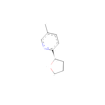 Cc1[c]cc([C@H]2CCCO2)nc1